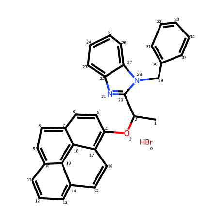 Br.CC(Oc1ccc2ccc3cccc4ccc1c2c34)c1nc2ccccc2n1Cc1ccccc1